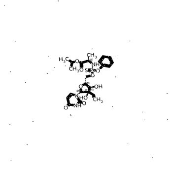 C=C[C@@]1(O)[C@H](O)[C@@H](CO[P@](=S)(N[C@@H](C)C(=O)OC(C)C)Oc2ccccc2)O[C@H]1n1ccc(=O)[nH]c1=O